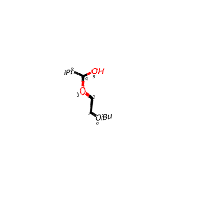 CC(C)COCCOC(O)C(C)C